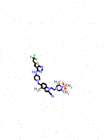 Cc1c(CN2CCC(Nc3ncnc4sc(CC(F)(F)F)cc34)CC2)ccc2c1cc(C#N)n2CCN1C[C@@H](C)N(S(C)(=O)=O)[C@@H](C)C1